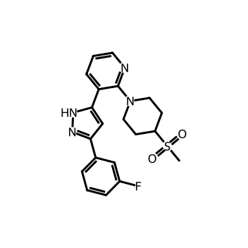 CS(=O)(=O)C1CCN(c2ncccc2-c2cc(-c3cccc(F)c3)n[nH]2)CC1